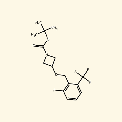 CC(C)(C)OC(=O)N1CC(SCc2c(F)cccc2C(F)(F)F)C1